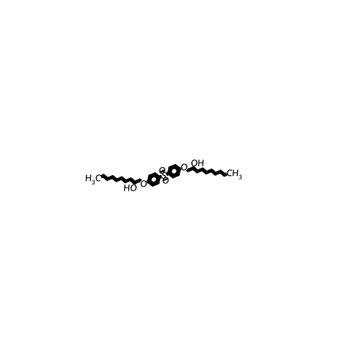 CCCCCCCCC(O)COc1ccc(S(=O)(=O)c2ccc(OCC(O)CCCCCCCC)cc2)cc1